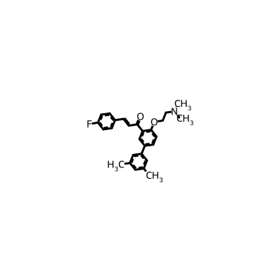 Cc1cc(C)cc(-c2ccc(OCCN(C)C)c(C(=O)/C=C/c3ccc(F)cc3)c2)c1